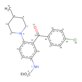 CCOC(=O)Nc1ccc(N2CCC(C)CC2)c(C(=O)c2ccc(Cl)cc2)c1